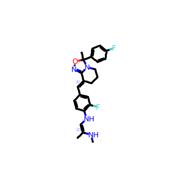 CN/C(C)=C\Nc1ccc(/C=C2\CCCN3C2=NOC3(C)c2ccc(F)cc2)cc1F